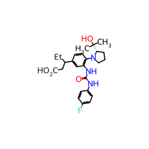 CCC(CC(=O)O)c1ccc(N2CCC[C@H]2C(C)(C)O)c(NC(=O)Nc2ccc(F)cc2)c1